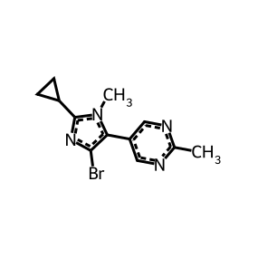 Cc1ncc(-c2c(Br)nc(C3CC3)n2C)cn1